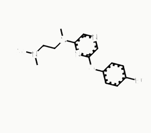 CCc1ccc(Oc2cncc(N(C)CCN(C)C(C)=O)n2)cc1